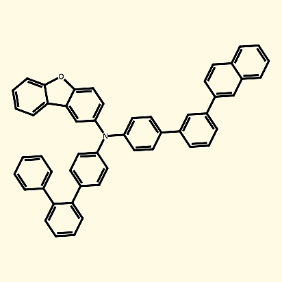 c1ccc(-c2ccccc2-c2ccc(N(c3ccc(-c4cccc(-c5ccc6ccccc6c5)c4)cc3)c3ccc4oc5ccccc5c4c3)cc2)cc1